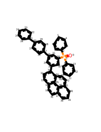 O=P(c1ccccc1)(c1ccccc1)c1cc(-c2ccc(-c3ccccc3)cc2)cc(-c2ccc3ccc4cccc5ccc2c3c45)c1